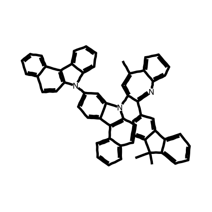 CC1=C=C(n2c3cc(-n4c5ccccc5c5c6ccccc6ccc54)ccc3c3c4ccccc4ccc32)C(c2ccc3c(c2)-c2ccccc2C3(C)C)=Nc2ccccc21